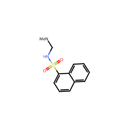 CN[CH]NS(=O)(=O)c1cccc2ccccc12